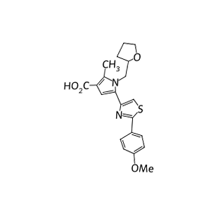 COc1ccc(-c2nc(-c3cc(C(=O)O)c(C)n3CC3CCCO3)cs2)cc1